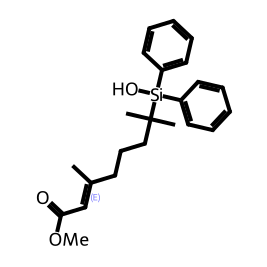 COC(=O)/C=C(\C)CCCC(C)(C)[Si](O)(c1ccccc1)c1ccccc1